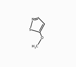 COc1c[c]ns1